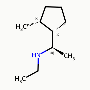 CCN[C@H](C)[C@H]1CCC[C@H]1C